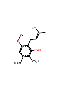 CCCCCc1cc(OC(C)C)c(C/C=C(/C)CCC)c(O)c1C(=O)O